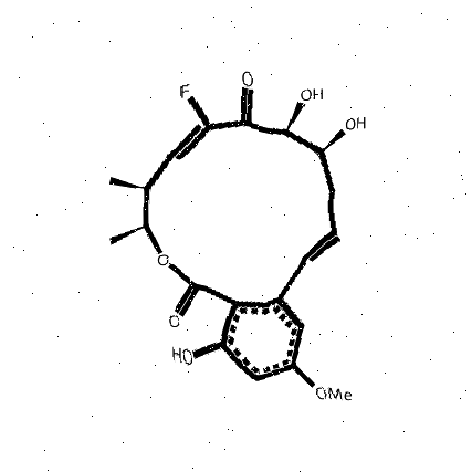 COc1cc(O)c2c(c1)/C=C/C[C@H](O)[C@H](O)C(=O)/C(F)=C\[C@H](C)[C@H](C)OC2=O